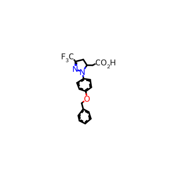 O=C(O)CC1CC(C(F)(F)F)=NN1c1ccc(OCc2ccccc2)cc1